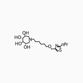 CCCc1nc(COCCCCCCN2C[C@H](O)[C@@H](O)[C@H](O)[C@@H](O)C2)cs1